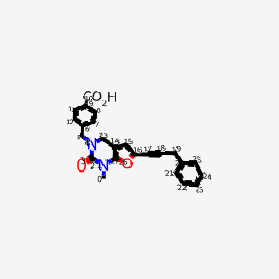 CN1C(=O)N(Cc2ccc(C(=O)O)cc2)Cc2cc(C#CCc3ccccc3)oc21